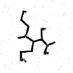 CCCC(C(CCN)N(C)CCC(C)C)N(C)CCC